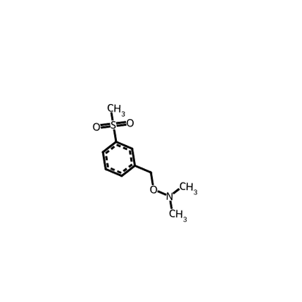 CN(C)OCc1cccc(S(C)(=O)=O)c1